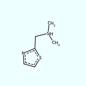 C[SiH](C)Cc1nccs1